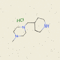 CN1CCN(CC2CCNCC2)CC1.Cl